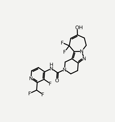 O=C(Nc1ccnc(C(F)F)c1F)N1CCc2nn3c(c2C1)C(F)(F)C=C(O)CC3